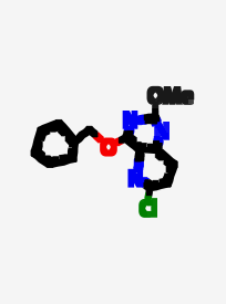 COc1nc(OCc2ccccc2)c2nc(Cl)ccc2n1